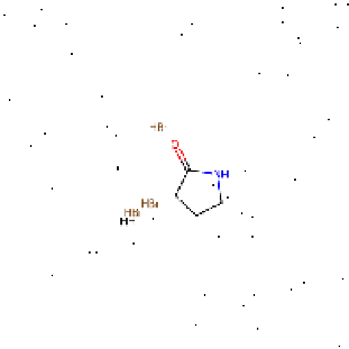 Br.Br.Br.O=C1CCCN1.[HH]